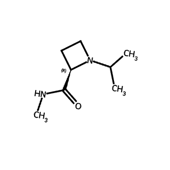 CNC(=O)[C@H]1CCN1C(C)C